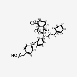 O=C(O)Cc1ccc(Sc2cccc(N(CCCc3ccccc3)C(=O)Nc3cccc(Cl)c3Cl)c2)cc1